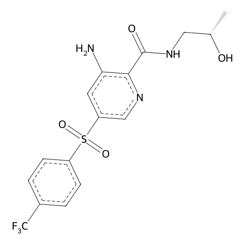 C[C@H](O)CNC(=O)c1ncc(S(=O)(=O)c2ccc(C(F)(F)F)cc2)cc1N